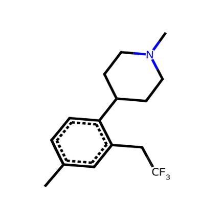 Cc1ccc(C2CCN(C)CC2)c(CC(F)(F)F)c1